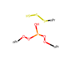 CCCOOP(O)OOCCC.CCCSSS